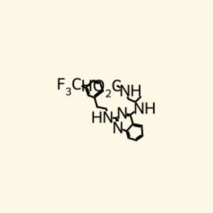 CC(CNC(=O)O)Nc1nc(NCCc2cccc(C(F)(F)F)c2)nc2ccccc12